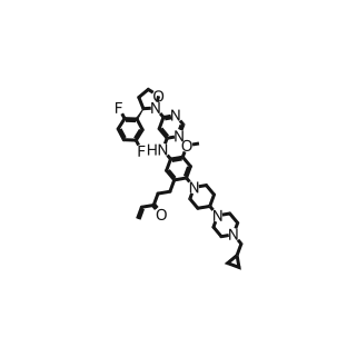 C=CC(=O)CCc1cc(Nc2cc(N3OCC[C@@H]3c3cc(F)ccc3F)ncn2)c(OC)cc1N1CCC(N2CCN(CC3CC3)CC2)CC1